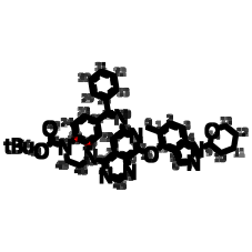 Cc1ccc2c(cnn2C2CCCCO2)c1Oc1nc(N=C(c2ccccc2)c2ccccc2)cc2c(N3CCN(C(=O)OC(C)(C)C)CC3)ncnc12